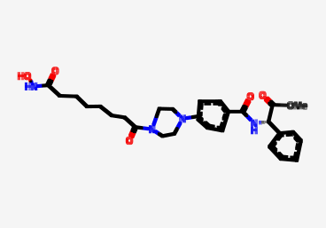 COC(=O)[C@@H](NC(=O)c1ccc(N2CCN(C(=O)CCCCCCC(=O)NO)CC2)cc1)c1ccccc1